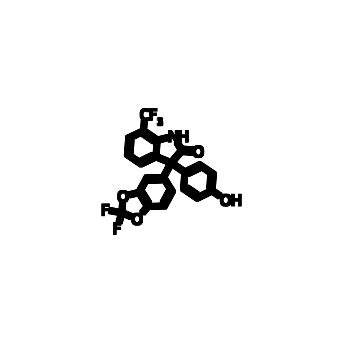 O=C1Nc2c(C(F)(F)F)cccc2C1(c1ccc(O)cc1)c1ccc2c(c1)OC(F)(F)O2